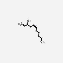 C=CC(O)C/C=C\CCCCC